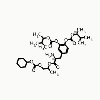 CC(COC(=O)OC1CCCCC1)OC(=O)[C@@H](N)Cc1ccc(OC(=O)O[C@@H](C)C(C)C)c(OC(=O)OC(C)C(C)C)c1